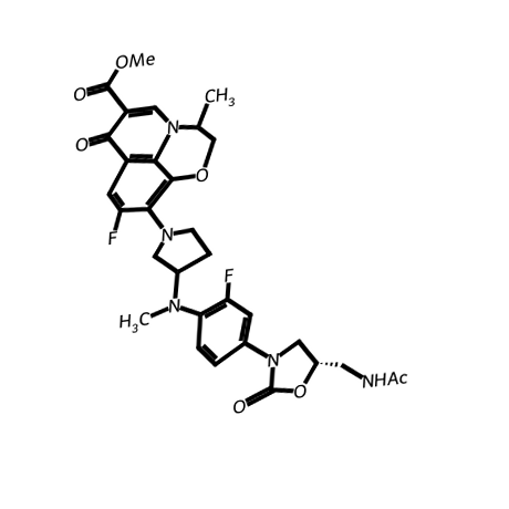 COC(=O)c1cn2c3c(c(N4CCC(N(C)c5ccc(N6C[C@H](CNC(C)=O)OC6=O)cc5F)C4)c(F)cc3c1=O)OCC2C